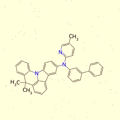 Cc1ccc(N(c2cccc(-c3ccccc3)c2)c2ccc3c(c2)c2cccc4c2n3-c2ccccc2C4(C)C)nc1